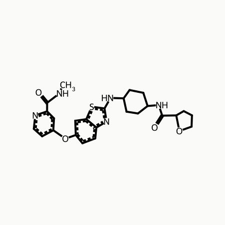 CNC(=O)c1cc(Oc2ccc3nc(NC4CCC(NC(=O)C5CCCO5)CC4)sc3c2)ccn1